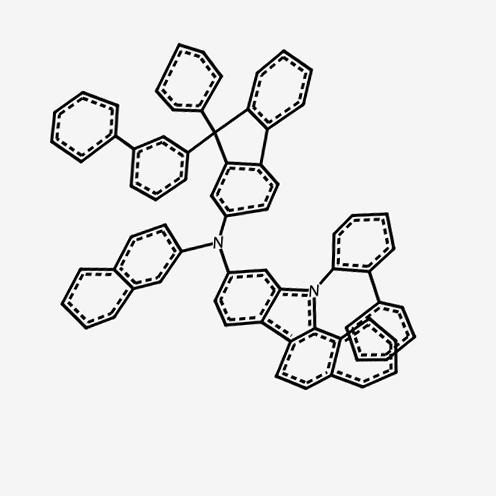 c1ccc(-c2cccc(C3(c4ccccc4)c4ccccc4-c4ccc(N(c5ccc6ccccc6c5)c5ccc6c7ccc8ccccc8c7n(-c7ccccc7-c7ccccc7)c6c5)cc43)c2)cc1